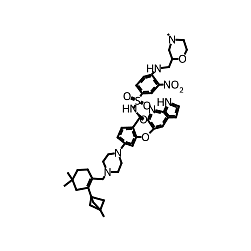 CN1CCOC(CNc2ccc(S(=O)(=O)NC(=O)c3ccc(N4CCN(CC5=C(C67CC(C)(C6)C7)CC(C)(C)CC5)CC4)cc3Oc3cnc4[nH]ccc4c3)cc2[N+](=O)[O-])C1